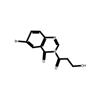 O=C(CCO)n1cnc2ccc(Br)cc2c1=O